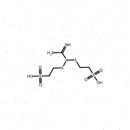 N=C(N)N(SCCS(=O)(=O)O)SCCS(=O)(=O)O